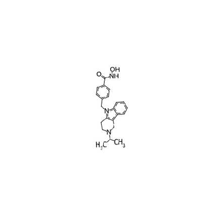 CC(C)N1CCc2c(c3ccccc3n2Cc2ccc(C(=O)NO)cc2)C1